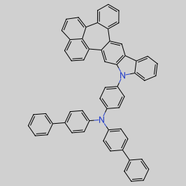 c1ccc(-c2ccc(N(c3ccc(-c4ccccc4)cc3)c3ccc(-n4c5ccccc5c5cc6c(cc54)-c4cccc5cccc(c45)-c4ccccc4-6)cc3)cc2)cc1